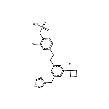 N#CC1(c2cc(CSc3ccc(OS(N)(=O)=O)c(Cl)c3)cc(Cn3cncn3)c2)CCC1